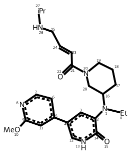 CCN(c1cc(-c2ccnc(OC)c2)c[nH]c1=O)C1CCCN(C(=O)/C=C/CNC(C)C)C1